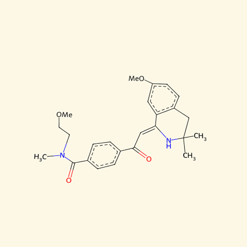 COCCN(C)C(=O)c1ccc(C(=O)/C=C2\NC(C)(C)Cc3ccc(OC)cc32)cc1